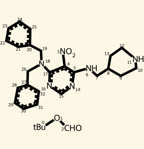 CC(C)(C)OC=O.O=[N+]([O-])c1c(NCC2CCNCC2)ncnc1N(Cc1ccccc1)Cc1ccccc1